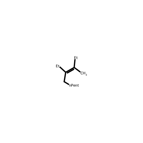 CCCCCCC(CC)=C(C)CC